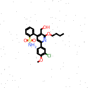 CCCCOc1nc(-c2ccc(OC)c(Cl)c2)cc(-c2ccccc2S(N)(=O)=O)c1CO